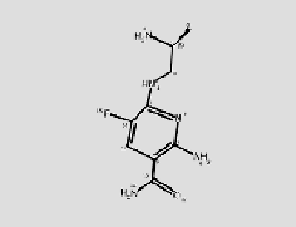 C[C@H](N)CNc1nc(N)c(C(N)=O)cc1F